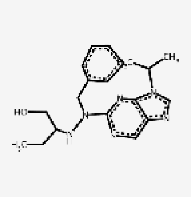 CCC(CO)NN(Cc1ccccc1)c1ncc2ncn(C(C)C)c2n1